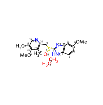 COc1ccc2[nH]c([S+]([O-])Cc3ncc(C)c(OC)c3C)nc2c1.O.O